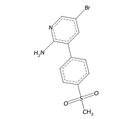 CS(=O)(=O)c1ccc(-c2cc(Br)cnc2N)cc1